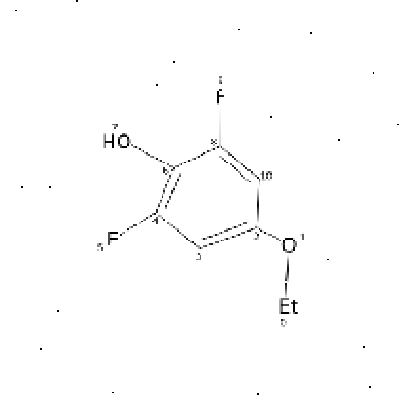 CCOc1cc(F)c(O)c(F)c1